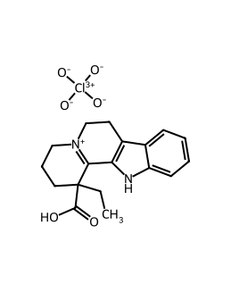 CCC1(C(=O)O)CCC[N+]2=C1c1[nH]c3ccccc3c1CC2.[O-][Cl+3]([O-])([O-])[O-]